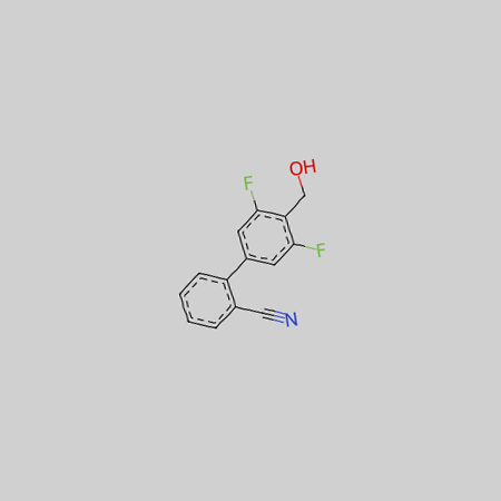 N#Cc1ccccc1-c1cc(F)c(CO)c(F)c1